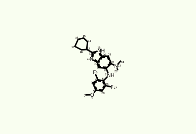 COc1cc(F)c(Nc2cc3nc(C4CCCCC4)[nH]c3cc2N(C)C)c(F)c1